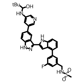 CC(C)(C)C(O)Nc1cncc(-c2ccc3[nH]nc(-c4cc5c(-c6cc(F)cc(CNS(C)(=O)=O)c6)cccc5[nH]4)c3c2)c1